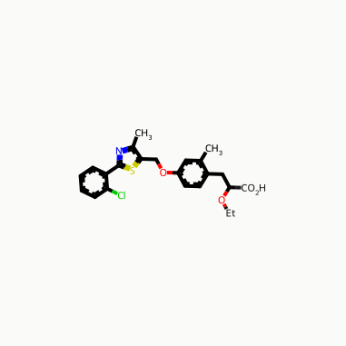 CCOC(Cc1ccc(OCc2sc(-c3ccccc3Cl)nc2C)cc1C)C(=O)O